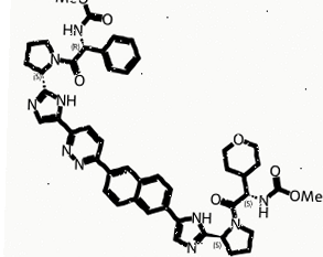 COC(=O)N[C@H](C(=O)N1CCC[C@H]1c1ncc(-c2ccc3cc(-c4ccc(-c5cnc([C@@H]6CCCN6C(=O)[C@H](NC(=O)OC)c6ccccc6)[nH]5)nn4)ccc3c2)[nH]1)C1CCOCC1